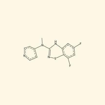 CN(C1=NSc2c(F)cc(F)cc2N1)c1ccncc1